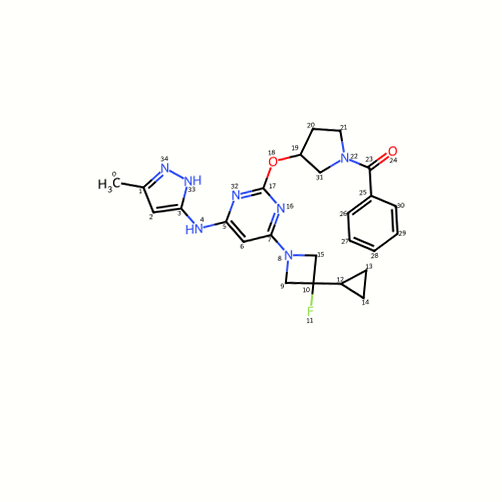 Cc1cc(Nc2cc(N3CC(F)(C4CC4)C3)nc(OC3CCN(C(=O)c4ccccc4)C3)n2)[nH]n1